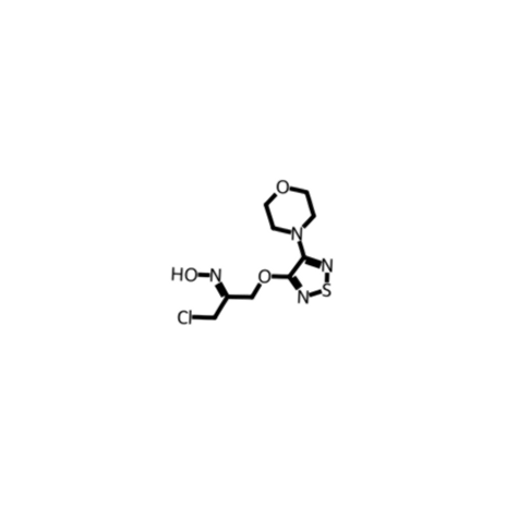 ON=C(CCl)COc1nsnc1N1CCOCC1